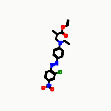 C=COC(=O)C(C)CN(CC)c1ccc(N=Nc2ccc([N+](=O)[O-])cc2Cl)cc1